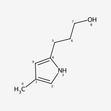 Cc1c[nH]c(CCCO)c1